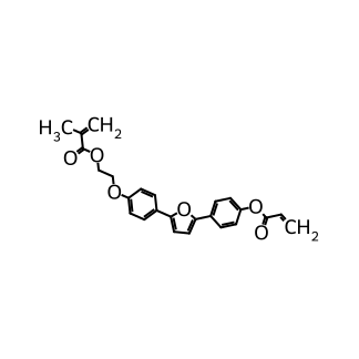 C=CC(=O)Oc1ccc(-c2ccc(-c3ccc(OCCOC(=O)C(=C)C)cc3)o2)cc1